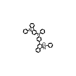 c1ccc(-c2nc3c(o2)c(-c2ccc(N(c4ccccc4)c4ccc5c(c4)c4ccccc4n5-c4ccccc4)cc2)cc2ccccc23)cc1